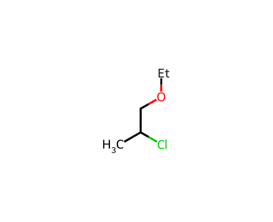 CCOCC(C)Cl